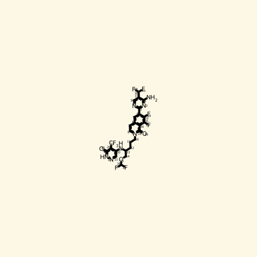 Nc1nc(-c2cc3ccn(CCCC(COC(F)F)Nc4cn[nH]c(=O)c4C(F)(F)F)c(=O)c3c(F)c2F)ncc1C(F)F